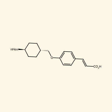 CCCCCC[C@H]1CC[C@H](COc2ccc(C=CC(=O)O)cc2)CC1